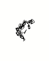 O=C(NS(=O)(=O)c1ccc(N[C@H](CCN2CCOCC2)CSc2ccccc2)c(F)c1)c1cccc(N2CCc3cccc(C(=O)Nc4nc5ccc(F)cc5s4)c3C2)n1